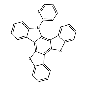 c1ccc(-n2c3ccccc3c3c4sc5ccccc5c4c4sc5ccccc5c4c32)nc1